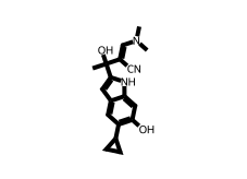 CN(C)/C=C(\C#N)C(C)(O)c1cc2cc(C3CC3)c(O)cc2[nH]1